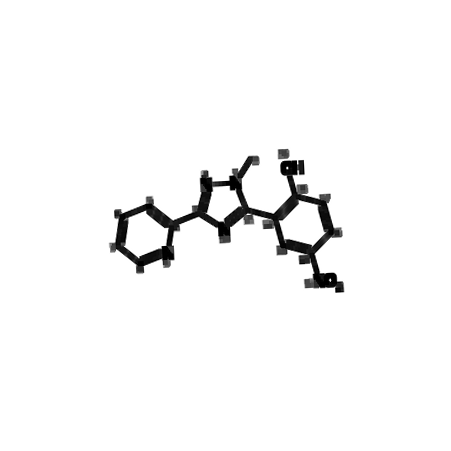 Cn1nc(-c2ccccn2)nc1-c1cc([N+](=O)[O-])ccc1O